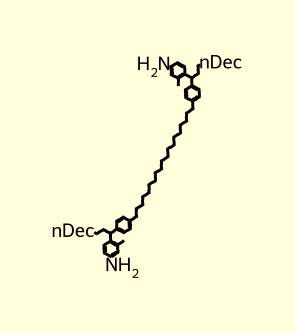 CCCCCCCCCCCCC(c1ccc(CCCCCCCCCCCCCCCCCCCc2ccc(C(CCCCCCCCCCCC)c3ccc(N)cc3C)cc2)cc1)c1ccc(N)cc1C